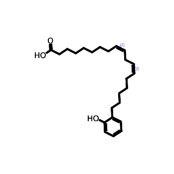 O=C(O)CCCCCCC/C=C\C/C=C\CCCCCc1ccccc1O